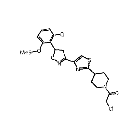 CSOc1cccc(Cl)c1C1CC(c2csc(C3CCN(C(=O)CCl)CC3)n2)=NO1